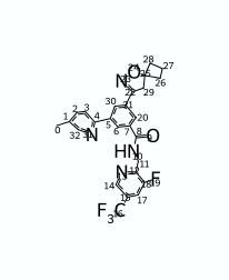 Cc1ccc(-c2cc(C(=O)NCc3ncc(C(F)(F)F)cc3F)cc(C3=NOC4(CCC4)C3)c2)nc1